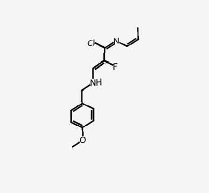 C\C=C/N=C(Cl)\C(F)=C\NCc1ccc(OC)cc1